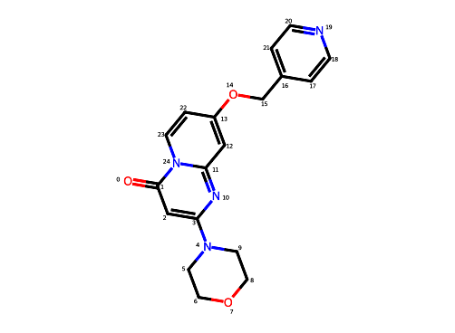 O=c1cc(N2CCOCC2)nc2cc(OCc3ccncc3)ccn12